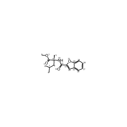 COC(=O)[C@@](C)(CC(C)C)NC(=O)c1cc2ccccc2o1